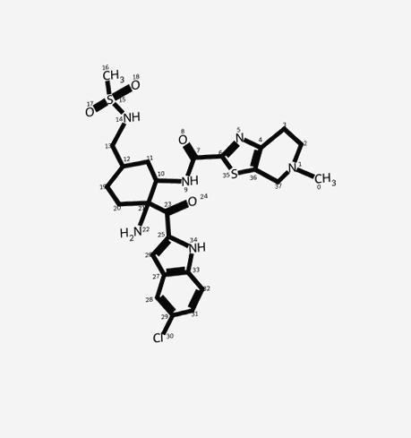 CN1CCc2nc(C(=O)NC3CC(CNS(C)(=O)=O)CCC3(N)C(=O)c3cc4cc(Cl)ccc4[nH]3)sc2C1